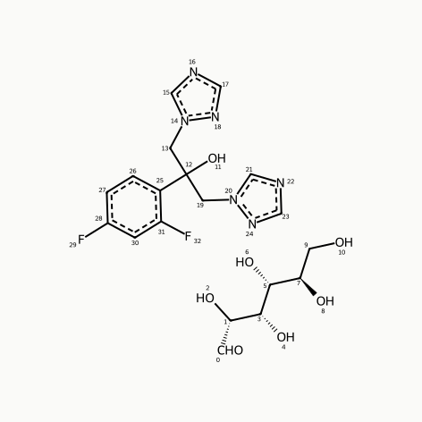 O=C[C@H](O)[C@@H](O)[C@H](O)[C@H](O)CO.OC(Cn1cncn1)(Cn1cncn1)c1ccc(F)cc1F